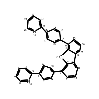 c1ccc(-c2ccc(-c3cccc4c3oc3c(-c5ccc(-c6ccccn6)cc5)cccc34)cc2)nc1